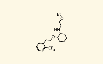 CCOCCN[C@@H]1CCCCC1OCCc1ccccc1C(F)(F)F